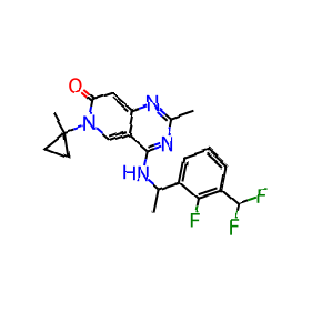 Cc1nc(NC(C)c2cccc(C(F)F)c2F)c2cn(C3(C)CC3)c(=O)cc2n1